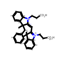 CC1(C)C(/C=C2/N(CCC(=O)O)c3ccccc3C2(C)Cc2ccccc2)=[N+](CCC(=O)O)c2ccccc21